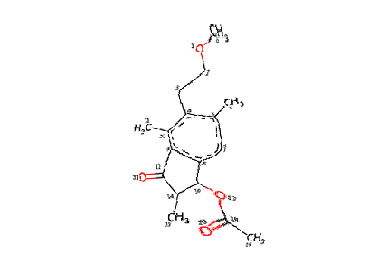 COCCc1c(C)cc2c(c1C)C(=O)C(C)C2OC(C)=O